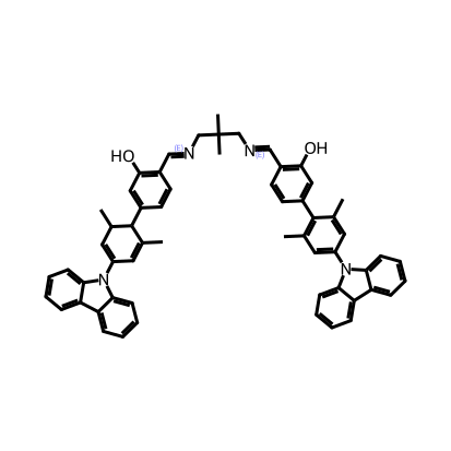 CC1=CC(n2c3ccccc3c3ccccc32)=CC(C)C1c1ccc(/C=N/CC(C)(C)C/N=C/c2ccc(-c3c(C)cc(-n4c5ccccc5c5ccccc54)cc3C)cc2O)c(O)c1